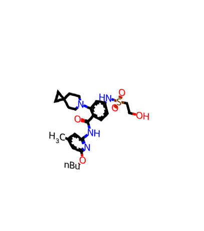 CCCCOc1cc(C)cc(NC(=O)c2ccc(NS(=O)(=O)CCO)cc2N2CCC3(CC2)CC3)n1